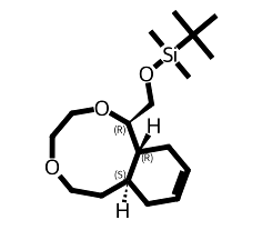 CC(C)(C)[Si](C)(C)OC[C@@H]1OCCOCC[C@@H]2CC=CC[C@H]21